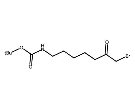 CC(C)(C)OC(=O)NCCCCCC(=O)CBr